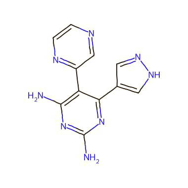 Nc1nc(N)c(-c2cnccn2)c(-c2cn[nH]c2)n1